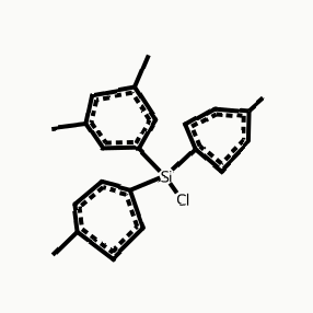 Cc1ccc([Si](Cl)(c2ccc(C)cc2)c2cc(C)cc(C)c2)cc1